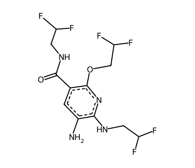 Nc1cc(C(=O)NCC(F)F)c(OCC(F)F)nc1NCC(F)F